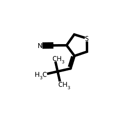 CC(C)(C)/C=C1/CSCC1C#N